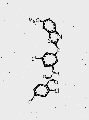 COc1ccc2nc(Oc3cc(Cl)cc(NS(=O)(=O)c4ccc(Cl)cc4Cl)c3)sc2c1